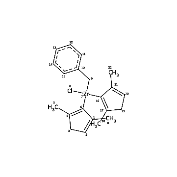 CC1=CCC(C)=[C]1[Zr]([Cl])([CH2]c1ccccc1)[C]1=C(C)CC=C1C